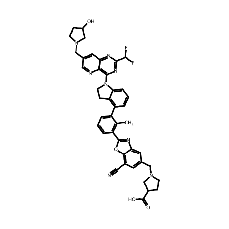 Cc1c(-c2nc3cc(CN4CCC(C(=O)O)C4)cc(C#N)c3o2)cccc1-c1cccc2c1CCN2c1nc(C(F)F)nc2cc(CN3CCC(O)C3)cnc12